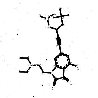 CCN(CC)CCN1C(=O)C(=O)c2c(Cl)cc(C#CC(CC(C)(C)C)O[SiH](C)C)cc21